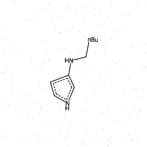 CCCCCNc1cc[nH]c1